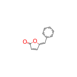 O=C1C=CC(=Cc2ccccc2)O1